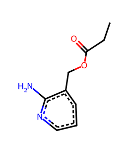 CCC(=O)OCc1cccnc1N